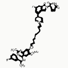 COc1cc2c(NC(C)c3cccc(Br)c3)nc(C)nc2cc1OCCCCCCCCN1CCC(c2cc(F)cc3c2CN(C2CCC(=O)NC2=O)C3=O)CC1